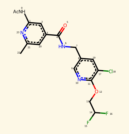 CC(=O)Nc1cc(C(=O)NCc2cnc(OCC(F)F)c(Cl)c2)cc(C)n1